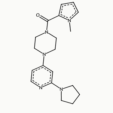 Cn1cccc1C(=O)N1CCN(c2ccnc(N3CCCC3)c2)CC1